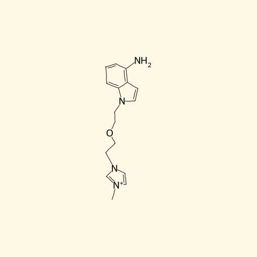 C[n+]1ccn(CCOCCn2ccc3c(N)cccc32)c1